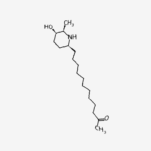 CC(=O)CCCCCCCCCC[C@H]1CC[C@@H](O)[C@@H](C)N1